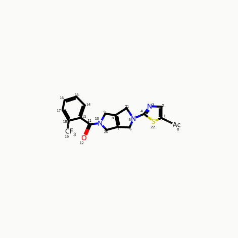 CC(=O)c1cnc(N2CC3=C(CN(C(=O)c4ccccc4C(F)(F)F)C3)C2)s1